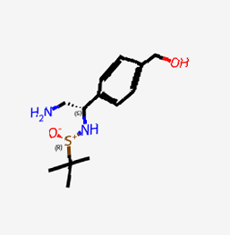 CC(C)(C)[S@+]([O-])N[C@H](CN)c1ccc(CO)cc1